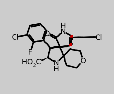 O=C(O)[C@@H]1NC2(CCOCC2)C2(C(=O)Nc3cc(Cl)ccc32)C1c1cccc(Cl)c1F